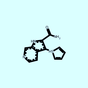 NC(=O)c1[nH]c2cnccc2c1[SH]1C=CC=C1